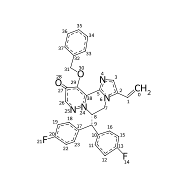 C=Cc1cnc2n1C[C@H](C(c1ccc(F)cc1)c1ccc(F)cc1)n1ncc(=O)c(OCc3ccccc3)c1-2